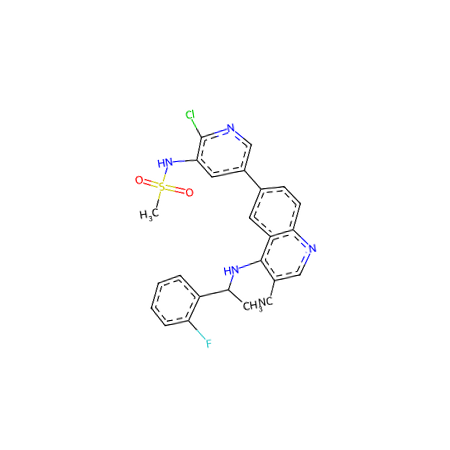 CC(Nc1c(C#N)cnc2ccc(-c3cnc(Cl)c(NS(C)(=O)=O)c3)cc12)c1ccccc1F